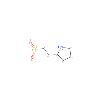 O=[SH](=O)CC[C@H]1CCCN1